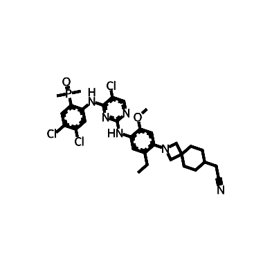 CCc1cc(Nc2ncc(Cl)c(Nc3cc(Cl)c(Cl)cc3P(C)(C)=O)n2)c(OC)cc1N1CC2(CCC(CC#N)CC2)C1